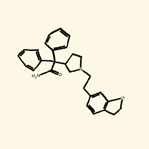 NC(=O)C(c1ccccc1)(c1ccccc1)C1CCN(CCc2ccc3c(c2)OCC3)C1